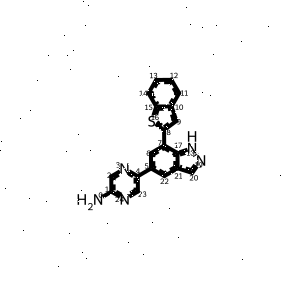 Nc1cnc(-c2cc(-c3cc4ccccc4s3)c3[nH]ncc3c2)cn1